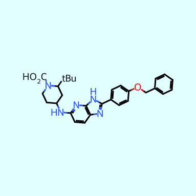 CC(C)(C)C1CC(Nc2ccc3nc(-c4ccc(OCc5ccccc5)cc4)[nH]c3n2)CCN1C(=O)O